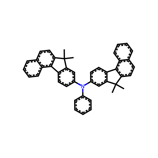 CC1(C)c2cc(N(c3ccccc3)c3ccc4c(c3)C(C)(C)c3ccc5ccccc5c3-4)ccc2-c2c1ccc1ccccc21